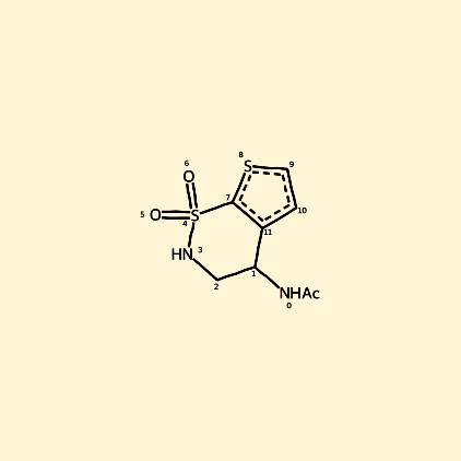 CC(=O)NC1CNS(=O)(=O)c2sccc21